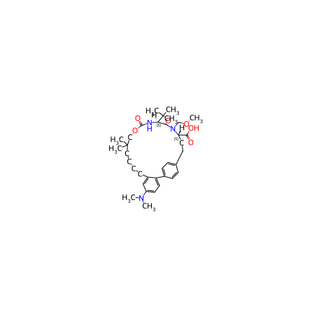 COCN1C(=O)[C@H](C(C)(C)C)NC(=O)OCC(C)(C)CCCCc2cc(N(C)C)ccc2-c2ccc(cc2)CC[C@H]1C(=O)O